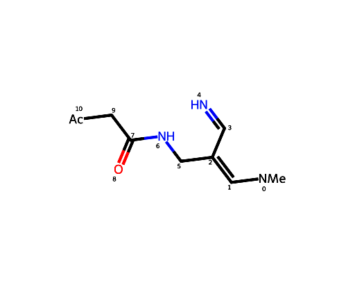 CN/C=C(\C=N)CNC(=O)CC(C)=O